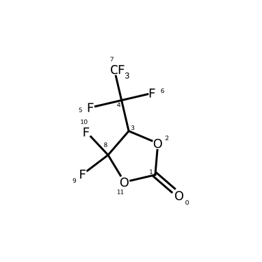 O=C1OC(C(F)(F)C(F)(F)F)C(F)(F)O1